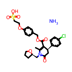 CC1=C(C(=O)OCc2ccc(OCCS(=O)(=O)O)cc2)[C@@H](c2ccc(Cl)cc2)CC(=O)N1C[C@H]1CCCO1.N